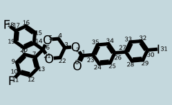 O=C(OC1COC(c2ccc(F)cc2)(c2ccc(F)cc2)OC1)c1ccc(-c2ccc(I)cc2)cc1